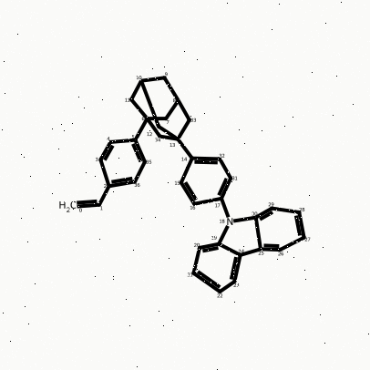 C=Cc1ccc(C23CC4CC(C2)CC(c2ccc(-n5c6ccccc6c6ccccc65)cc2)(C4)C3)cc1